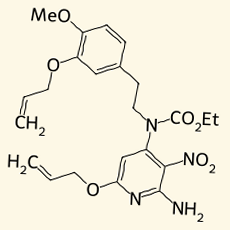 C=CCOc1cc(N(CCc2ccc(OC)c(OCC=C)c2)C(=O)OCC)c([N+](=O)[O-])c(N)n1